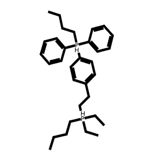 CCCC[PH](CC)(CC)CCc1ccc([PH](CCCC)(c2ccccc2)c2ccccc2)cc1